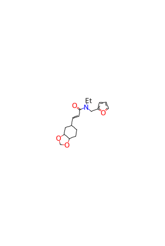 CCN(Cc1ccco1)C(=O)/C=C/C1CCC2OCOC2C1